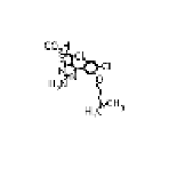 CN(C)CCCOc1cc(-c2nc(N)nc3sc(C(=O)O)cc23)c(Cl)cc1Cl